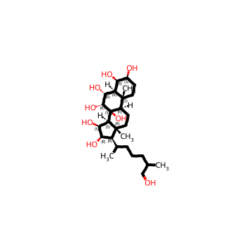 CC(CO)CCCC(C)[C@H]1[C@@H](O)[C@@H](O)[C@@H]2[C@]1(C)CC[C@@H]1[C@@]3(C)CC[C@H](O)[C@H](O)[C@@H]3[C@@H](O)[C@@H](O)[C@]12O